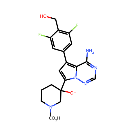 Nc1ncnn2c(C3(O)CCCN(C(=O)O)C3)cc(-c3cc(F)c(CO)c(F)c3)c12